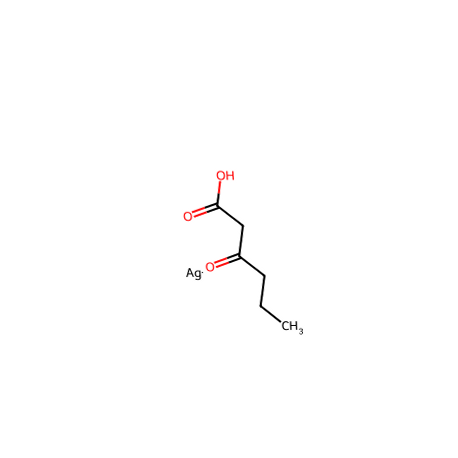 CCCC(=O)CC(=O)O.[Ag]